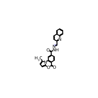 Cc1ccc2oc(=O)c3ccc(C(=O)N/N=C/c4ccc5ccccc5n4)cc3n12